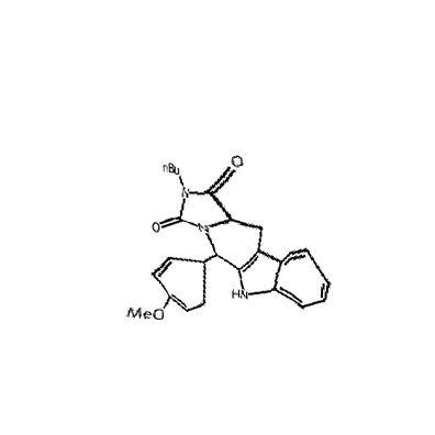 CCCCN1C(=O)C2Cc3c([nH]c4ccccc34)C(C3C=CC(OC)=CC3)N2C1=O